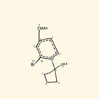 COc1ccc(C2(O)CCC2)c(Br)c1